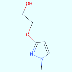 Cn1ccc(OCCO)n1